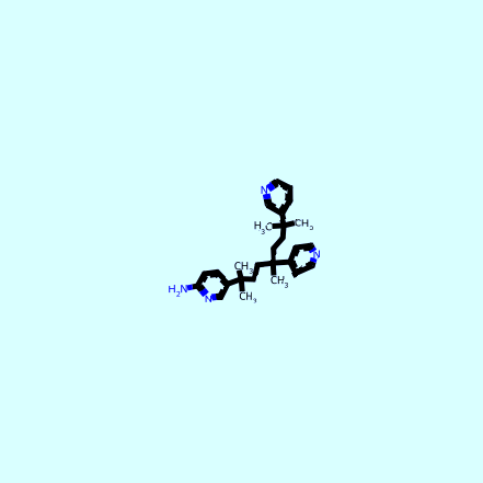 CC(C)(CCC(C)(CCC(C)(C)c1ccc(N)nc1)c1ccncc1)c1cccnc1